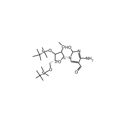 COC1C(O[Si](C)(C)C(C)(C)C)[C@@H](CO[Si](C)(C)C(C)(C)C)O[C@H]1N1C=C(C=O)C(N)=NC1O